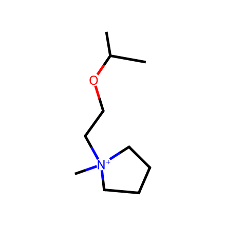 CC(C)OCC[N+]1(C)CCCC1